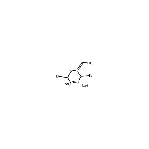 CC=S(SC(CC)S(=O)(=O)O)C(CC)S(=O)(=O)O.[NaH]